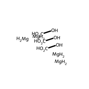 O=C(O)O.O=C(O)O.O=C(O)O.[MgH2].[MgH2].[MgH2].[MgH2]